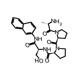 C[C@H](N)C(=O)N1CCC[C@H]1C(=O)N1CCC[C@H]1C(=O)N[C@@H](CO)C(=O)Nc1ccc2ccccc2c1